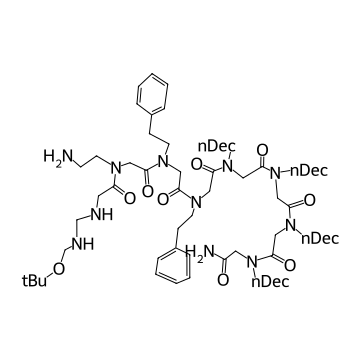 CCCCCCCCCCN(CC(N)=O)C(=O)CN(CCCCCCCCCC)C(=O)CN(CCCCCCCCCC)C(=O)CN(CCCCCCCCCC)C(=O)CN(CCc1ccccc1)C(=O)CN(CCc1ccccc1)C(=O)CN(CCN)C(=O)CNCNCOC(C)(C)C